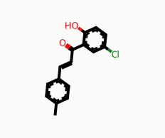 Cc1ccc(C=CC(=O)c2cc(Cl)ccc2O)cc1